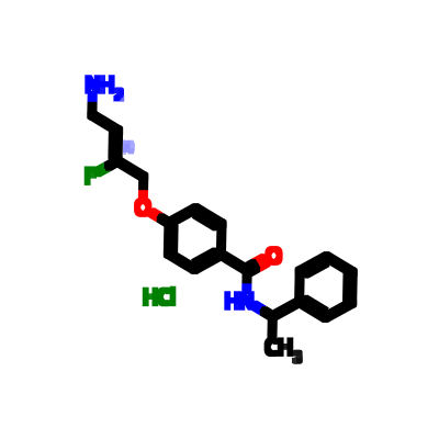 CC(NC(=O)c1ccc(OC/C(F)=C/CN)cc1)c1ccccc1.Cl